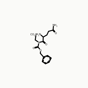 NC(=O)CCC(N)C(=O)N(CC(=O)O)C(=O)OCc1ccccc1